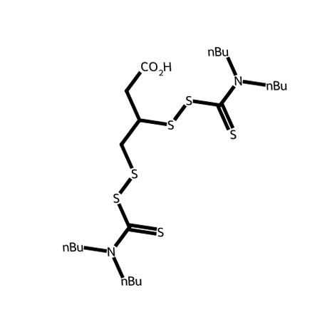 CCCCN(CCCC)C(=S)SSCC(CC(=O)O)SSC(=S)N(CCCC)CCCC